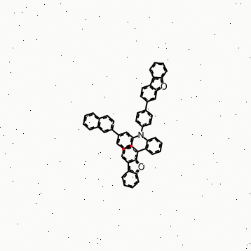 c1cc(-c2ccc3ccccc3c2)cc(N(c2ccc(-c3ccc4c(c3)oc3ccccc34)cc2)c2ccccc2-c2cccc3c2oc2ccccc23)c1